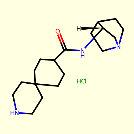 Cl.O=C(N[C@H]1CN2CCC1CC2)C1CCC2(CCNCC2)CC1